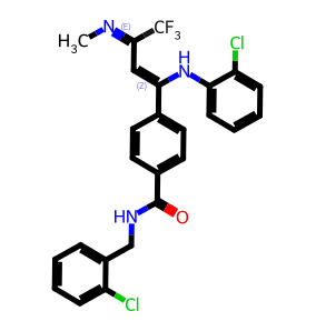 C/N=C(\C=C(/Nc1ccccc1Cl)c1ccc(C(=O)NCc2ccccc2Cl)cc1)C(F)(F)F